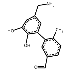 Cc1ccc(C=O)cc1-c1cc(CN)cc(O)c1O